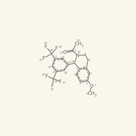 COc1ccc2c(c1)CCN(C(C)=O)C2c1cc(C(F)(F)F)cc(C(F)(F)F)c1